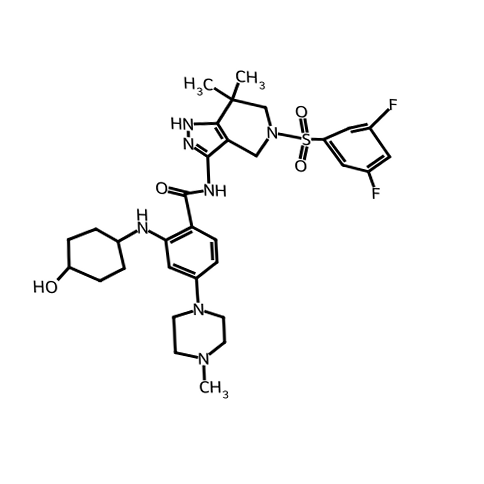 CN1CCN(c2ccc(C(=O)Nc3n[nH]c4c3CN(S(=O)(=O)c3cc(F)cc(F)c3)CC4(C)C)c(NC3CCC(O)CC3)c2)CC1